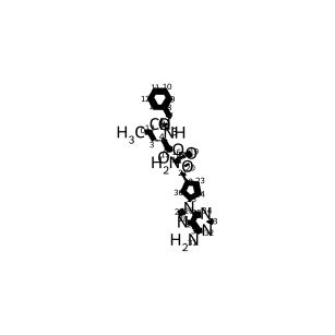 CC(C)C[C@H](NOCc1ccccc1)C(=O)OP(N)(=O)OC[C@H]1C=C[C@@H](n2cnc3c(N)ncnc32)C1